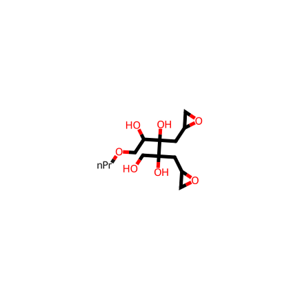 CCCOCC(O)C(O)(CC1CO1)C(O)(CO)CC1CO1